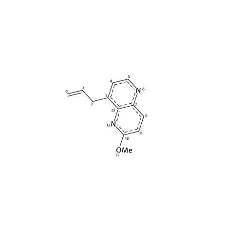 C=CCc1ccnc2ccc(OC)nc12